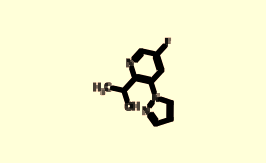 CC(O)c1ncc(F)cc1-n1cccn1